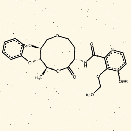 COc1ccnc(C(=O)N[C@H]2CCOC[C@H](OCC(C)C)[C@@H](Oc3ccccc3)[C@H](C)OC2=O)c1OCOC(C)=O